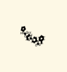 O=C(NC1CCCC1)Oc1cnc(N2CCC(N3C(=O)OCc4ccccc43)CC2)nc1C(F)(F)F